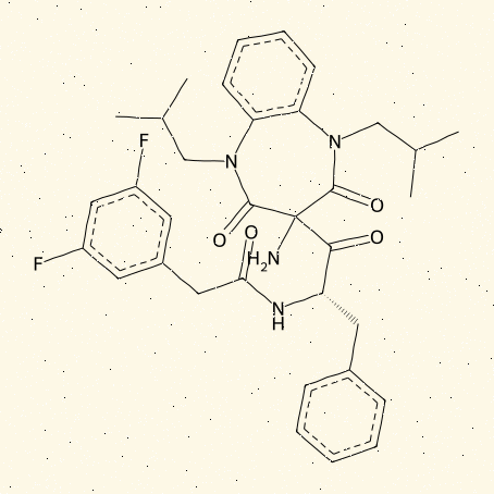 CC(C)CN1C(=O)C(N)(C(=O)[C@H](Cc2ccccc2)NC(=O)Cc2cc(F)cc(F)c2)C(=O)N(CC(C)C)c2ccccc21